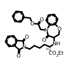 CCOC(=O)[C@H](CCCCN1C(=O)c2ccccc2C1=O)NC1COc2ccccc2N(CC(=O)OCc2ccccc2)C1=O